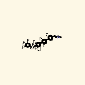 C/C=C/CCc1ccc(-c2cc(F)c(-c3cc(F)c(C(F)(F)Oc4cc(F)c(F)c(F)c4)c(Cl)c3)c(F)c2)c(F)c1